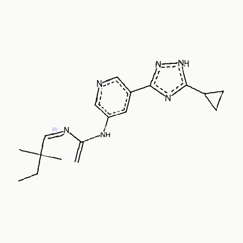 C=C(/N=C\C(C)(C)CC)Nc1cncc(-c2n[nH]c(C3CC3)n2)c1